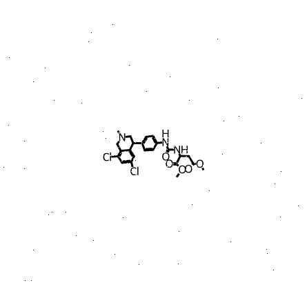 COC(=O)CC(NC(=O)Nc1ccc(C2CN(C)Cc3c(Cl)cc(Cl)cc32)cc1)C(=O)OC